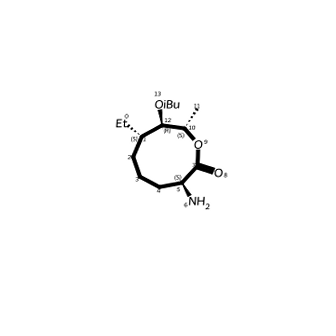 CC[C@H]1CCC[C@H](N)C(=O)O[C@@H](C)[C@@H]1OCC(C)C